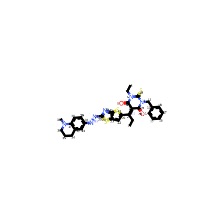 CC/C(=C1/C(=O)N(CC)C(=S)N(Cc2ccccc2)C1=O)c1cc2sc(/N=N/c3ccc4c(c3)CCCN4C)nc2s1